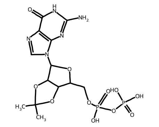 CC1(C)OC2C(COP(=O)(O)OP(=O)(O)O)OC(n3cnc4c(=O)[nH]c(N)nc43)C2O1